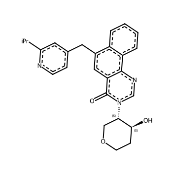 CC(C)c1cc(Cc2cc3c(=O)n([C@H]4COCC[C@@H]4O)cnc3c3ccccc23)ccn1